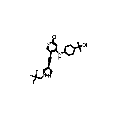 CC(C)(O)C1CCC(Nc2cc(Cl)ncc2C#Cc2cnn(CC(F)(F)F)c2)CC1